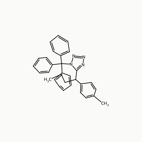 CCCC(c1ccc(C)cc1)c1nnnn1C(c1ccccc1)(c1ccccc1)c1ccccc1